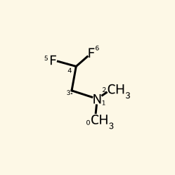 CN(C)[CH]C(F)F